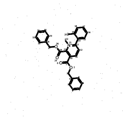 O=C(OCc1ccccc1)c1ccc(-c2ccccc2I)[n+](I)c1C(=O)OCc1ccccc1